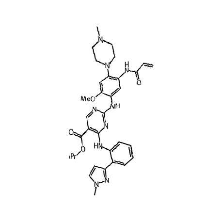 C=CC(=O)Nc1cc(Nc2ncc(C(=O)OC(C)C)c(Nc3ccccc3-c3ccn(C)n3)n2)c(OC)cc1N1CCN(C)CC1